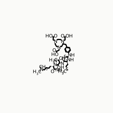 CSCC[C@H](NC(=S)Nc1ccc(CC2CN(CC(=O)O)CCN(CC(=O)O)CCN2CC(=O)O)cc1)C(=O)N[C@H](C(=O)N[C@@H](CCCCN(C)C)C(N)=O)C(C)C